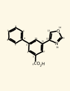 O=C(O)c1cc(-c2ccccc2)cc(-c2cocn2)c1